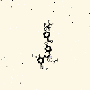 Nc1ccc(N)c(C/C(=C\c2ccc(OC(=O)c3ccc(OC(F)(F)C(F)F)cc3)cc2)C(=O)O)c1